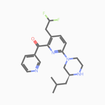 CC(C)C[C@H]1CN(c2ccc(CC(F)F)c(C(=O)c3cccnc3)n2)CCN1